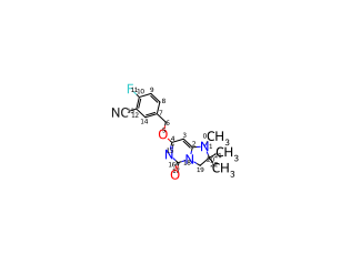 CN1c2cc(OCc3ccc(F)c(C#N)c3)nc(=O)n2CC1(C)C